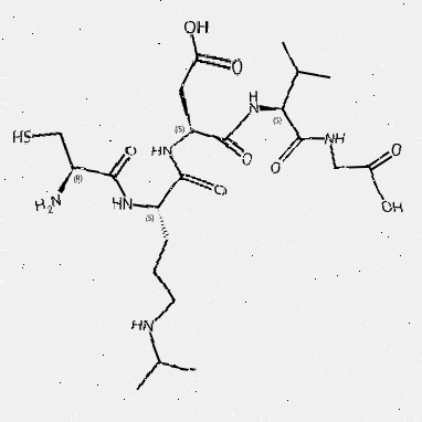 CC(C)NCCC[C@H](NC(=O)[C@@H](N)CS)C(=O)N[C@@H](CC(=O)O)C(=O)N[C@H](C(=O)NCC(=O)O)C(C)C